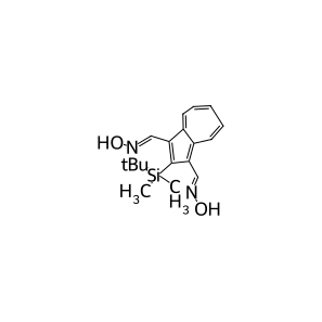 CC(C)(C)[Si](C)(C)c1c(/C=N/O)c2cccccc-2c1/C=N/O